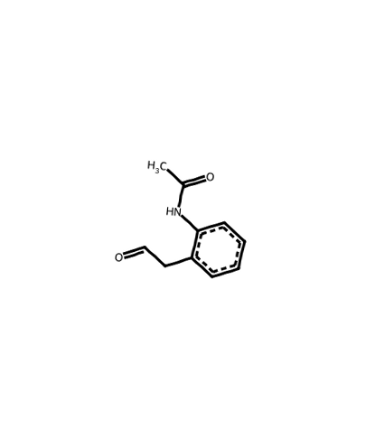 CC(=O)Nc1ccccc1CC=O